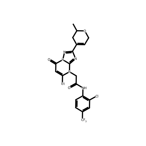 CCc1cc(=O)n2nc(C3=CCOC(C)C3)nc2n1CC(=O)Nc1ccc(C(F)(F)F)cc1Cl